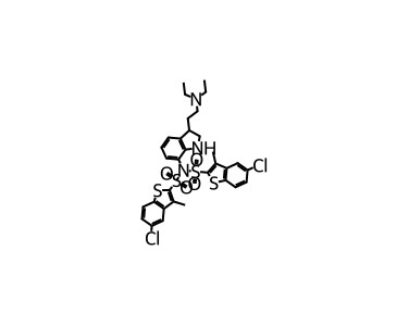 CCN(CC)CCC1CNc2c1cccc2N(S(=O)(=O)c1sc2ccc(Cl)cc2c1C)S(=O)(=O)c1sc2ccc(Cl)cc2c1C